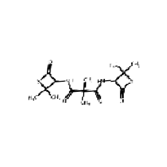 CC(C)(C(=O)NC1C(=O)SC1(C)C)C(=O)NC1C(=O)SC1(C)C